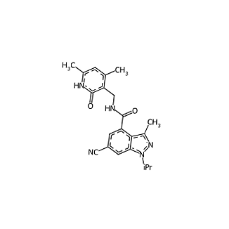 Cc1cc(C)c(CNC(=O)c2cc(C#N)cc3c2c(C)nn3C(C)C)c(=O)[nH]1